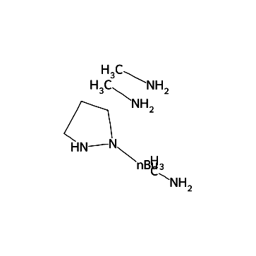 CCCCN1CCCN1.CN.CN.CN